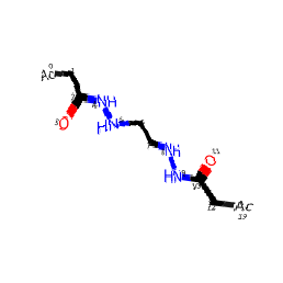 CC(=O)CC(=O)NNCCNNC(=O)CC(C)=O